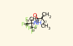 C=C(CC)C(=O)NC(C)(C(F)(F)F)C(F)(F)F